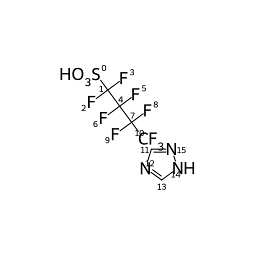 O=S(=O)(O)C(F)(F)C(F)(F)C(F)(F)C(F)(F)F.c1nc[nH]n1